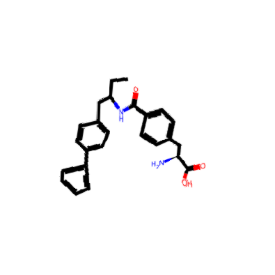 CCC(Cc1ccc(-c2ccccc2)cc1)NC(=O)c1ccc(C[C@H](N)C(=O)O)cc1